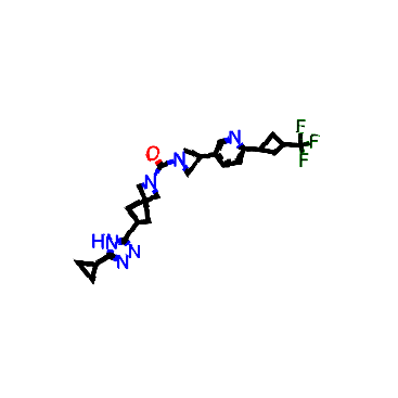 O=C(N1CC(c2ccc(C3CC(C(F)(F)F)C3)nc2)C1)N1CC2(CC(c3nnc(C4CC4)[nH]3)C2)C1